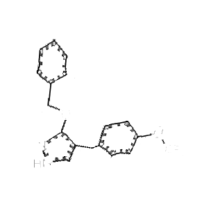 FC(F)(F)Oc1ccc(-c2c[nH]nc2OCc2ccccc2)cc1